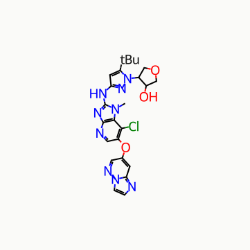 Cn1c(Nc2cc(C(C)(C)C)n(C3COCC3O)n2)nc2ncc(Oc3cnn4ccnc4c3)c(Cl)c21